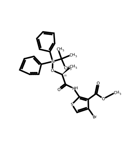 COC(=O)c1c(Br)csc1NC(=O)[C@H](C)O[Si](c1ccccc1)(c1ccccc1)C(C)(C)C